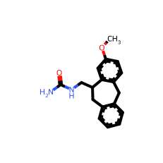 COc1ccc2c(c1)C(CNC(N)=O)Cc1ccccc1C2